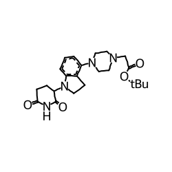 CC(C)(C)OC(=O)CN1CCN(c2cccc3c2CCN3C2CCC(=O)NC2=O)CC1